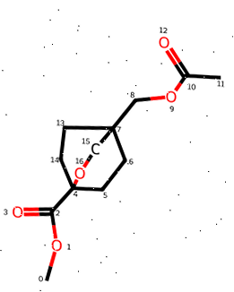 COC(=O)C12CCC(COC(C)=O)(CC1)CO2